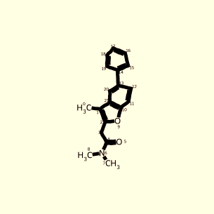 Cc1c(CC(=O)N(C)C)oc2ccc(-c3ccccc3)cc12